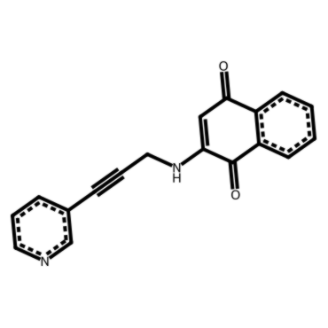 O=C1C=C(NCC#Cc2cccnc2)C(=O)c2ccccc21